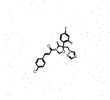 CC1N(C(=O)/C=C/c2ccc(Cl)cc2)COC1(Cn1cncn1)c1ccc(F)cc1F